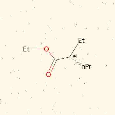 CCC[C@@H](CC)C(=O)OCC